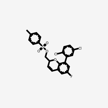 Cc1ccc(S(=O)(=O)OCC2C=Cc3cc(F)cc(-c4cc(Cl)ccc4Cl)c3O2)cc1